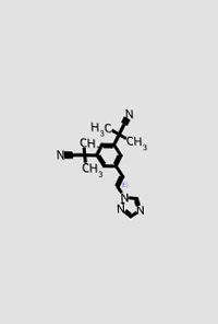 CC(C)(C#N)c1cc(/C=C/n2cncn2)cc(C(C)(C)C#N)c1